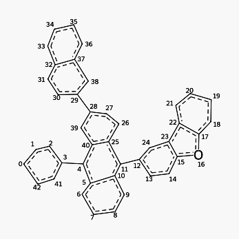 c1ccc(-c2c3ccccc3c(-c3ccc4oc5ccccc5c4c3)c3ccc(-c4ccc5ccccc5c4)cc23)cc1